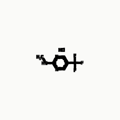 CNc1ncc(C(F)(F)F)cn1.Cl